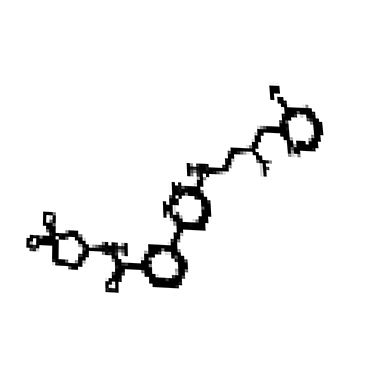 O=C(NC1CCS(=O)(=O)C1)c1cccc(-c2ccc(NCC[C@H](F)Cc3ncccc3F)nn2)c1